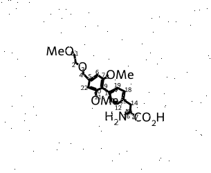 COCCOCc1cc(OC)c(-c2ccc(C[C@H](N)C(=O)O)cc2)c(OC)c1